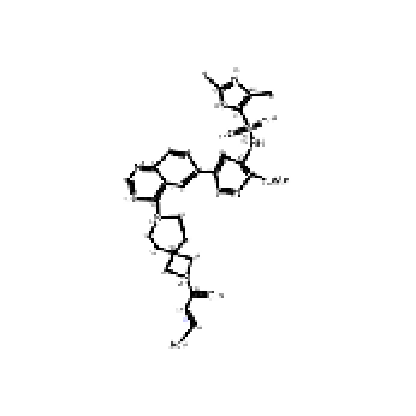 COc1ncc(-c2ccc3ncnc(N4CCC5(CC4)CN(C(=O)/C=C/C(C)=O)C5)c3c2)cc1NS(=O)(=O)c1sc(C)nc1C